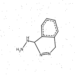 NNC1N=NCc2ccccc21